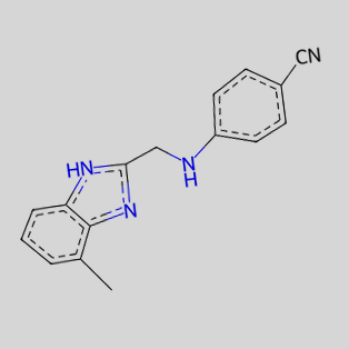 Cc1cccc2[nH]c(CNc3ccc(C#N)cc3)nc12